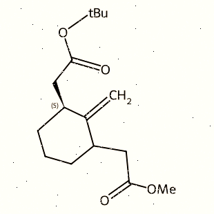 C=C1C(CC(=O)OC)CCC[C@H]1CC(=O)OC(C)(C)C